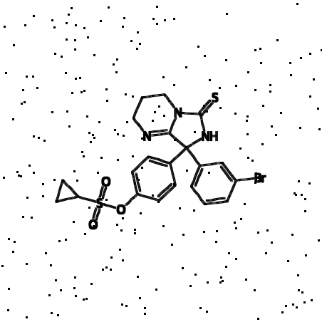 O=S(=O)(Oc1ccc(C2(c3cccc(Br)c3)NC(=S)N3CCCN=C32)cc1)C1CC1